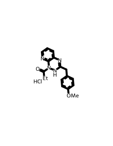 CCC(=O)N1NC(Cc2ccc(OC)cc2)=Nc2cccnc21.Cl